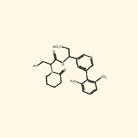 Cc1cccc(C)c1-c1cncc(C(CC(=O)O)NC(=O)C(CC(C)C)N2CCCCC2=O)c1